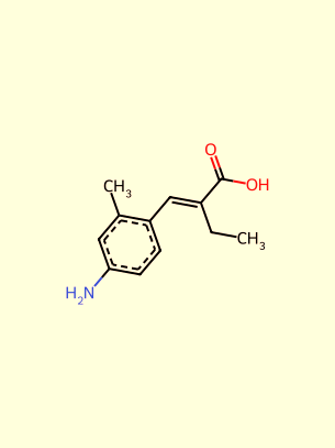 CC/C(=C\c1ccc(N)cc1C)C(=O)O